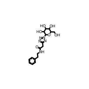 O=C(Cc1nnn(C2OC(CO)C(O)C(O)C2O)n1)NCCc1ccccc1